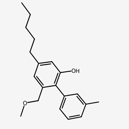 CCCCCc1cc(O)c(-c2cccc(C)c2)c(COC)c1